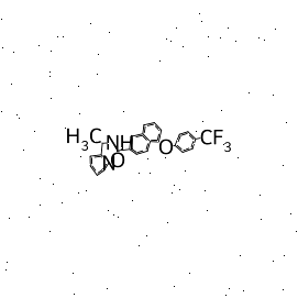 CC(NC(=O)c1ccc2c(Oc3ccc(C(F)(F)F)cc3)cccc2c1)c1ccccn1